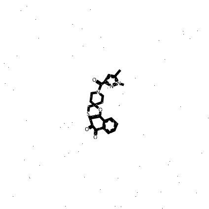 Cc1cc(C(=O)N2CCC3(CC2)CSC2=C(O3)c3ccccc3C(=O)C2=O)nn1C